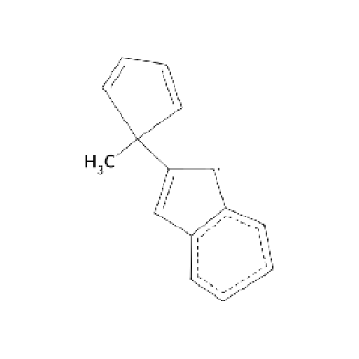 CC1(C2=Cc3ccccc3[CH]2)C=CC=C1